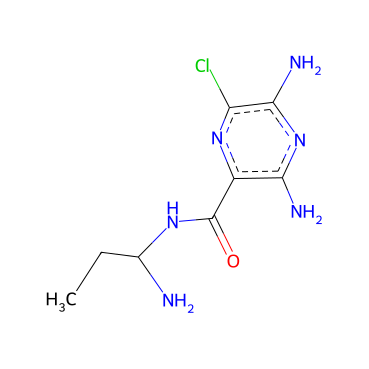 CCC(N)NC(=O)c1nc(Cl)c(N)nc1N